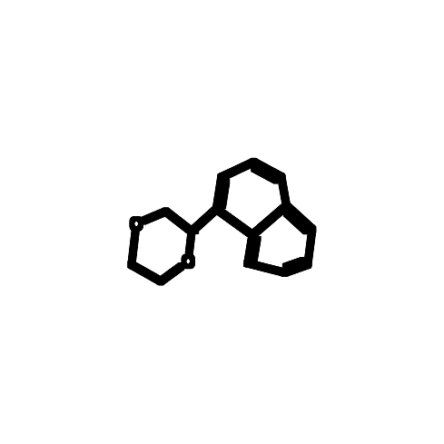 c1ccc2c([C]3COCCO3)cccc2c1